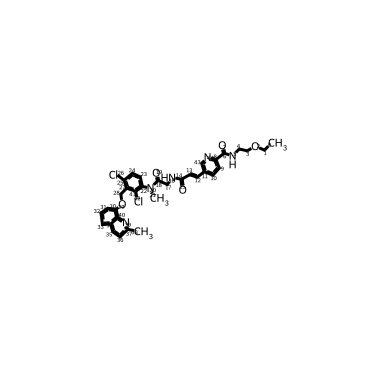 CCOCCNC(=O)c1ccc(/C=C/C(=O)NCC(=O)N(C)c2ccc(Cl)c(COc3cccc4ccc(C)nc34)c2Cl)cn1